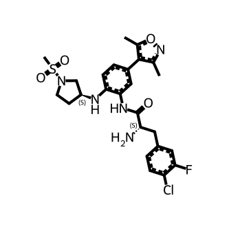 Cc1noc(C)c1-c1ccc(N[C@H]2CCN(S(C)(=O)=O)C2)c(NC(=O)[C@@H](N)Cc2ccc(Cl)c(F)c2)c1